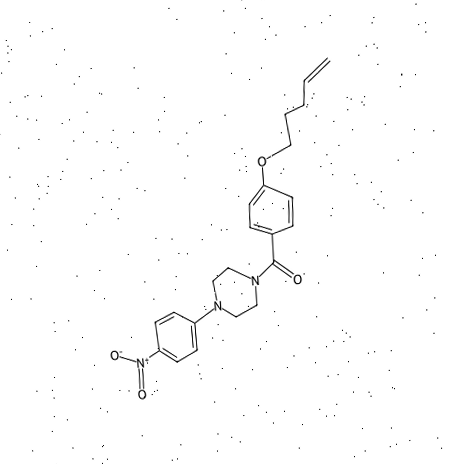 C=CCCCOc1ccc(C(=O)N2CCN(c3ccc([N+](=O)[O-])cc3)CC2)cc1